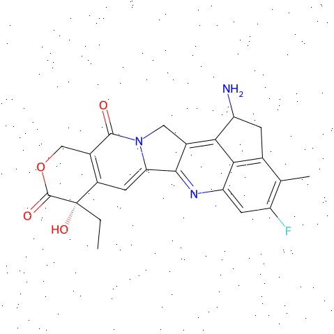 CC[C@@]1(O)C(=O)OCc2c1cc1n(c2=O)Cc2c-1nc1cc(F)c(C)c3c1c2C(N)C3